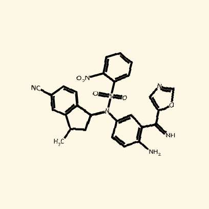 CC1CC(N(c2ccc(N)c(C(=N)c3cnco3)c2)S(=O)(=O)c2ccccc2[N+](=O)[O-])c2ccc(C#N)cc21